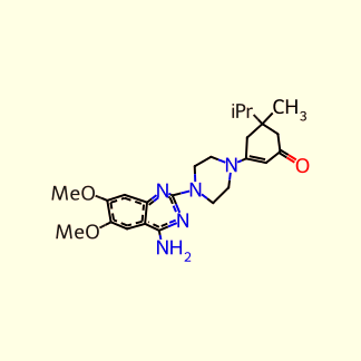 COc1cc2nc(N3CCN(C4=CC(=O)CC(C)(C(C)C)C4)CC3)nc(N)c2cc1OC